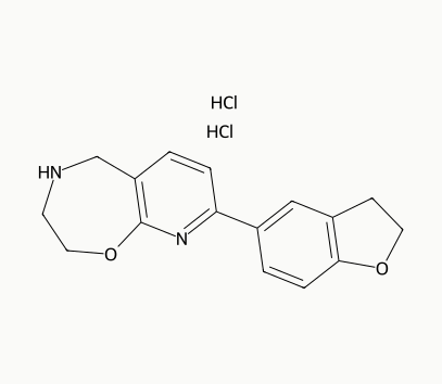 Cl.Cl.c1cc2c(cc1-c1ccc3c(n1)OCCNC3)CCO2